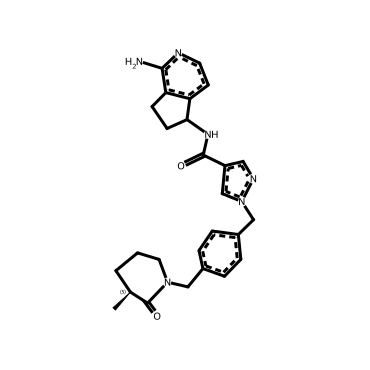 C[C@H]1CCCN(Cc2ccc(Cn3cc(C(=O)NC4CCc5c4ccnc5N)cn3)cc2)C1=O